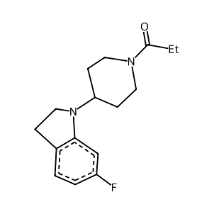 CCC(=O)N1CCC(N2CCc3ccc(F)cc32)CC1